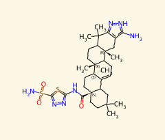 CC1(C)CC[C@]2(C(=O)Nc3nnc(S(N)(=O)=O)s3)CC[C@]3(C)C(=CCC4[C@@]5(C)Cc6c(n[nH]c6N)C(C)(C)C5CC[C@]43C)C2C1